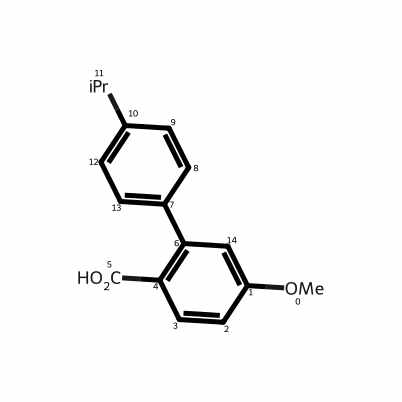 COc1ccc(C(=O)O)c(-c2ccc(C(C)C)cc2)c1